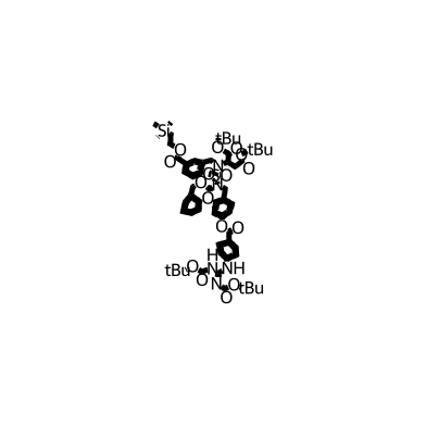 CC(C)(C)OC(=O)CC(C(=O)OC(C)(C)C)N(Cc1cccc(C(=O)OCC[Si](C)(C)C)c1)S(=O)(=O)N(Cc1ccc(OC(=O)c2ccc(NC(=NC(=O)OC(C)(C)C)NC(=O)OC(C)(C)C)cc2)cc1)C(=O)OCc1ccccc1